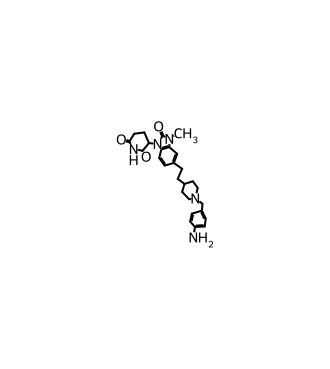 Cn1c(=O)n(C2CCC(=O)NC2=O)c2ccc(CCC3CCN(Cc4ccc(N)cc4)CC3)cc21